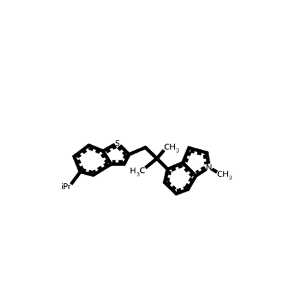 CC(C)c1ccc2sc(CC(C)(C)c3cccc4c3ccn4C)cc2c1